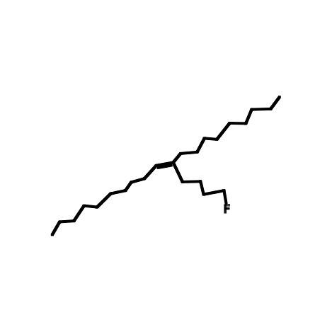 CCCCCCCCCC=C(CCCCF)CCCCCCCCC